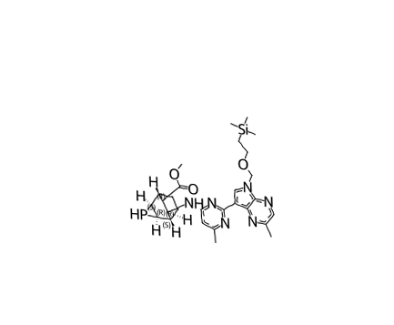 COC(=O)C1[C@H]2CC[C@H]([C@H]3P[C@H]32)[C@@H]1Nc1cc(C)nc(-c2cn(COCC[Si](C)(C)C)c3ncc(C)nc23)n1